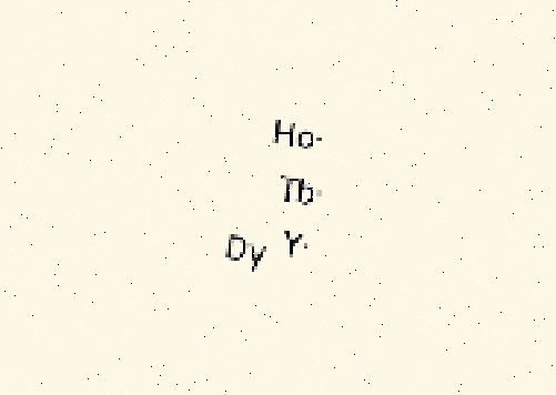 [Dy].[Ho].[Tb].[Y]